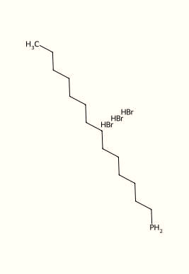 Br.Br.Br.CCCCCCCCCCCCCCP